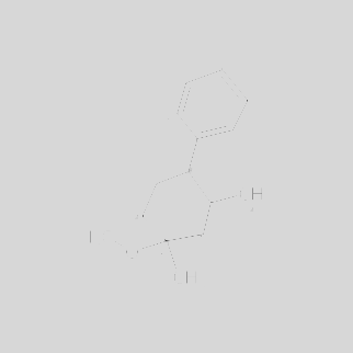 COC1(C)CCC(c2ccccc2)C(C)C1